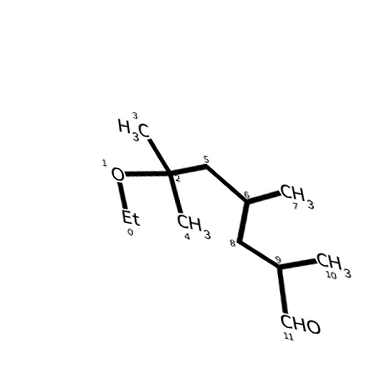 CCOC(C)(C)CC(C)CC(C)C=O